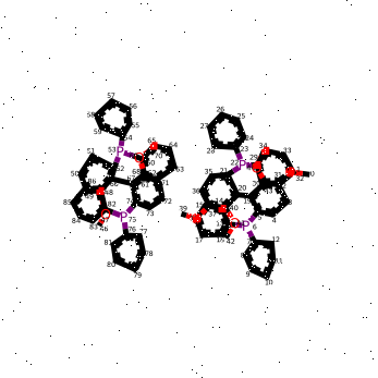 COc1ccc(P(c2ccccc2)c2ccccc2)c(-c2c(P(c3ccccc3)c3ccccc3)ccc(OC)c2OC)c1OC.COc1cccc(P(c2ccccc2)c2ccccc2)c1-c1c(OC)cccc1P(c1ccccc1)c1ccccc1